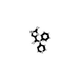 O=C1NCC(C(=O)N(C2=CCSC=C2)c2ccccc2)O1